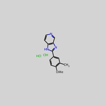 COc1ccc(-c2nc3cnccc3[nH]2)cc1C.Cl.Cl